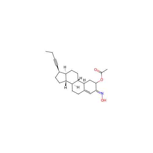 CCC#C[C@@H]1CC[C@H]2[C@@H]3CCC4=CC(=NO)C(OC(C)=O)C[C@@H]4[C@H]3CC[C@@H]21